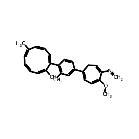 C=NC1=CCC(c2ccc(-c3cccc(C)ccccc3C)c(C)c2)=CC=C1OC